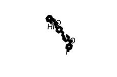 O=C(c1ccc(F)cc1)C1CCN(CCC2CCC(NC(=O)N3Cc4ccccc4C3)CC2)CC1